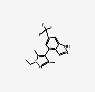 CCn1nc(C)c(-c2cc(C(F)(F)F)cc3[nH]ncc23)c1C